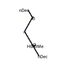 CCCCCCCCCCCCCCCCCCCCCC[C@@H](C(=O)OC)[C@H](O)CCCCCCCCCCCCCCCCC[C@H](C)/C=C/CCCCCCCCCCCCCCCC(=O)[C@@H](C)CCCCCCCCCCCCCCCCCC